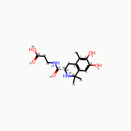 Cc1c(O)c(O)cc2c1C[C@@H](C(=O)NCCC(=O)O)NC2(C)C